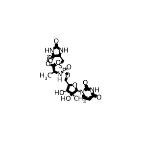 CC(C)OC(=O)[C@H](C)NP(=O)(OC[C@H]1O[C@@H](n2ccc(=O)[nH]c2=O)[C@](C)(O)[C@@H]1O)SC[C@@H]1NC(=O)NC1=O